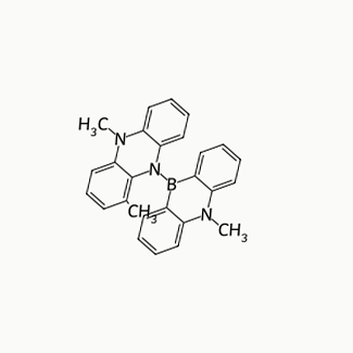 Cc1cccc2c1N(B1c3ccccc3N(C)c3ccccc31)c1ccccc1N2C